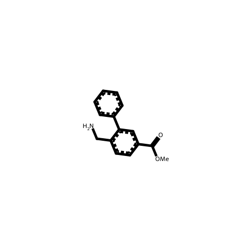 COC(=O)c1ccc(CN)c(-c2ccccc2)c1